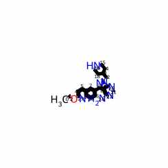 CCOc1ccc2cc(-c3nn(CC4CCNCC4)c4ncnc(N)c34)ccc2n1